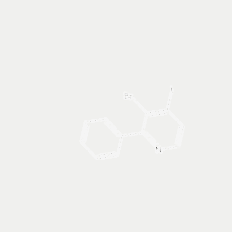 Brc1c(I)ccnc1-c1ccccc1